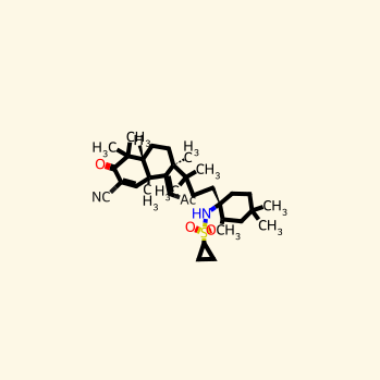 CC(=O)/C=C1/[C@@]2(C)C=C(C#N)C(=O)C(C)(C)[C@@H]2CC[C@@]1(C)C(C)(C)CC[C@@]1(NS(=O)(=O)C2CC2)CCC(C)(C)CC1C